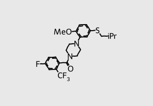 COc1ccc(SCC(C)C)cc1N1CCN(C(=O)c2ccc(F)cc2C(F)(F)F)CC1